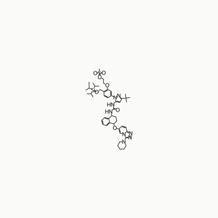 CC(C)[Si](OCc1ccc(-n2nc(C(C)(C)C)cc2NC(=O)N[C@H]2CC[C@@H](Oc3ccc4nnc(N5CCCC[C@@H]5C)n4c3)c3ccccc32)cc1OCCOS(C)(=O)=O)(C(C)C)C(C)I